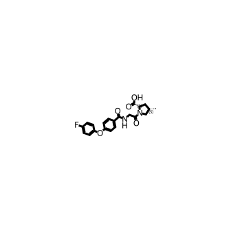 C[C@H]1C[C@@H](C(=O)O)N(C(=O)CNC(=O)c2ccc(Oc3ccc(F)cc3)cc2)C1